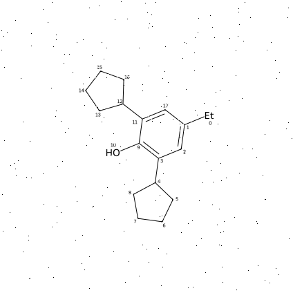 CCc1cc(C2CCCC2)c(O)c(C2CCCC2)c1